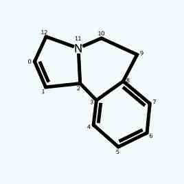 C1=CC2c3ccccc3CCN2C1